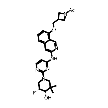 CC(=O)N1CC(COc2cccc3cc(Nc4ccnc(N5C[C@@H](F)[C@@H](O)C(C)(C)C5)n4)ncc23)C1